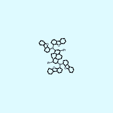 CC(C)c1cc(N(c2cccc3c2oc2ccccc23)c2cccc3c2oc2ccccc23)c2ccc3c(C(C)C)cc(N(c4cccc5c4oc4ccccc45)c4cccc5c4oc4ccccc45)c4ccc1c2c34